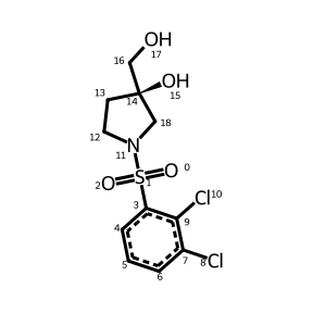 O=S(=O)(c1cccc(Cl)c1Cl)N1CC[C@](O)(CO)C1